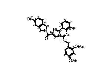 COc1ccc(CNc2nc3c(F)cccc3c3nc(C(=O)N4Cc5ccc(Br)cc5C4)cn23)c(OC)c1